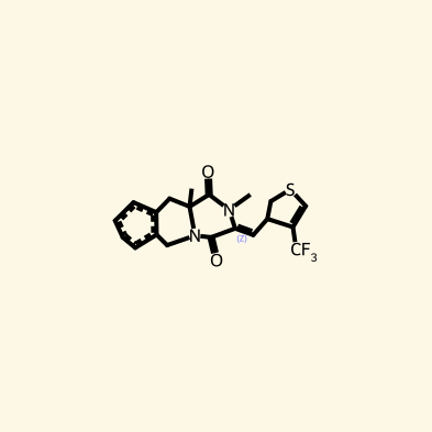 CN1C(=O)C2(C)Cc3ccccc3CN2C(=O)/C1=C/C1CSC=C1C(F)(F)F